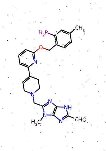 Cc1ccc(COc2cccc(C3=CCN(Cc4nc5[nH]c(C=O)nc5n4C)CC3)n2)c(P)c1